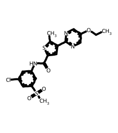 CCOc1cnc(-c2cc(C(=O)Nc3cc(Cl)cc(S(C)(=O)=O)c3)sc2C)nc1